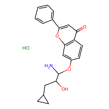 Cl.NC(Oc1ccc2c(=O)cc(-c3ccccc3)oc2c1)C(O)CC1CC1